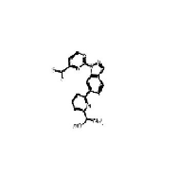 CCCC(N)c1cccc(-c2ccc3cnn(-c4nccc(C(F)F)n4)c3c2)n1